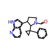 O=CN1CCC(c2c[nH]c3ncccc23)C1C1(c2ccccc2)CC1